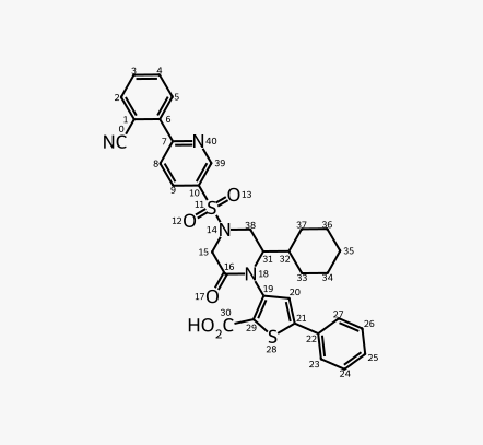 N#Cc1ccccc1-c1ccc(S(=O)(=O)N2CC(=O)N(c3cc(-c4ccccc4)sc3C(=O)O)C(C3CCCCC3)C2)cn1